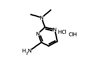 CN(C)c1nccc(N)n1.Cl.Cl